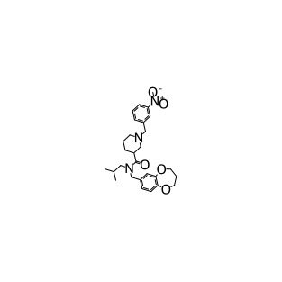 CC(C)CN(Cc1ccc2c(c1)OCCCO2)C(=O)C1CCCN(Cc2cccc([N+](=O)[O-])c2)C1